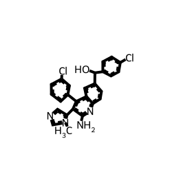 Cn1cncc1-c1c(N)nc2ccc(C(O)c3ccc(Cl)cc3)cc2c1-c1cccc(Cl)c1